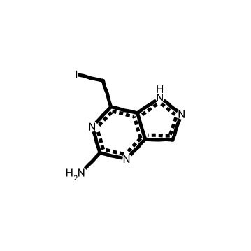 Nc1nc(CI)c2[nH]ncc2n1